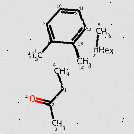 CCC(C)=O.CCCCCCC.Cc1ccccc1C